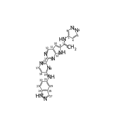 C=C(Nc1ccnnc1)c1cc2cnc(-c3nccc(Nc4ccc5[nH]ncc5c4)n3)nc2[nH]1